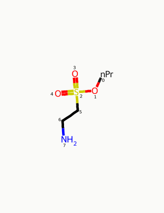 CCCOS(=O)(=O)CCN